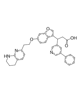 O=C(O)CC(c1cncc(-c2ccccc2)c1)c1coc2cc(OCCc3ccc4c(n3)NCCC4)ccc12